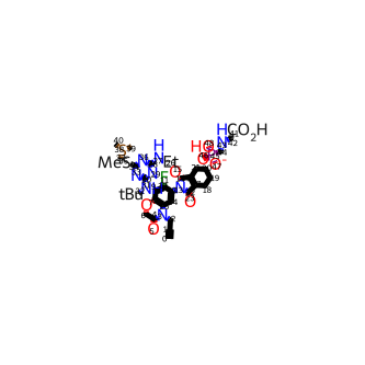 C#CCN1C(=O)COc2cc(F)c(N3C(=O)C4=C(CCCC4)C3=O)cc21.CCNc1nc(NC(C)(C)C)nc(SC)n1.C[S+](C)C.O=C(O)CNCP(=O)([O-])O